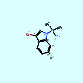 CC(C)[Si](C(C)C)(C(C)C)n1cc(Br)c2ccc(F)cc21